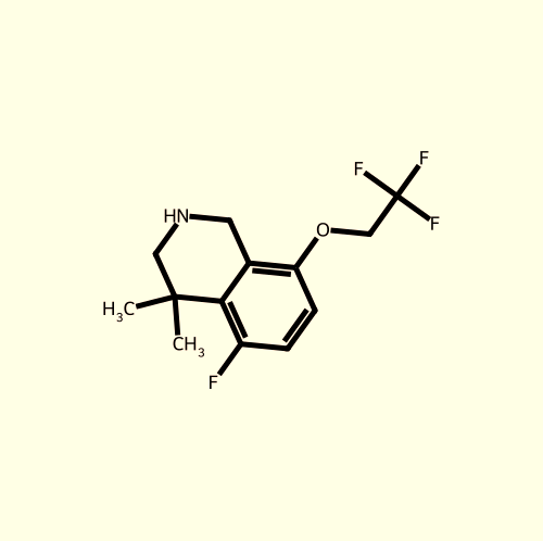 CC1(C)CNCc2c(OCC(F)(F)F)ccc(F)c21